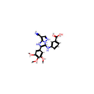 COc1cc(-c2[nH]c3c(C#N)cnn3c2Nc2cccc(C(=O)O)c2)cc(OC)c1OC